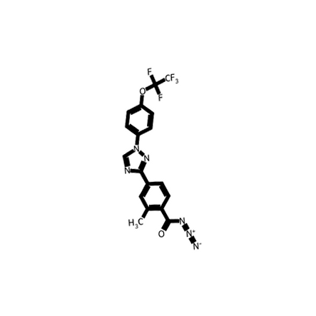 Cc1cc(-c2ncn(-c3ccc(OC(F)(F)C(F)(F)F)cc3)n2)ccc1C(=O)N=[N+]=[N-]